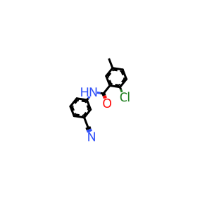 Cc1ccc(Cl)c(C(=O)Nc2cccc(C#N)c2)c1